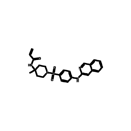 C=CC(=O)NC1(C)CCN(S(=O)(=O)c2ccc(Nc3cc4ccccc4cn3)cc2)CC1